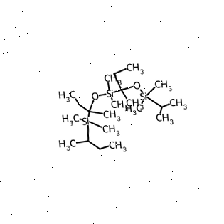 CCC(C)[Si](C)(C)C(C)(CC)O[Si](C)(C)C(C)(CC)O[Si](C)(C)C(C)C